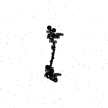 CC[C@H](NC)C(=O)N[C@@H]1C(=O)N2[C@@H](CC[C@@H]1CNC(=O)CCc1cn(CCCOCCOCCOCCCNC(=O)C(NC(=O)[C@@H]3CC[C@@H]4CC[C@H](CNCc5ccccc5)[C@H](NC(=O)[C@H](CC)NC)C(=O)N43)(c3ccccc3)c3ccccc3)nn1)CC[C@H]2C(=O)NC(c1ccccc1)c1ccccc1